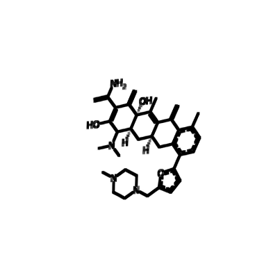 C=C(N)C1=C(O)C(N(C)C)[C@@H]2C[C@@H]3Cc4c(-c5ccc(CN6CCN(C)CC6)o5)ccc(C)c4C(=C)C3=C(C)[C@]2(O)C1=C